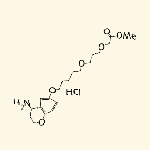 COC(=O)COCCCOCCCCCOc1ccc2c(c1)C(N)CCO2.Cl